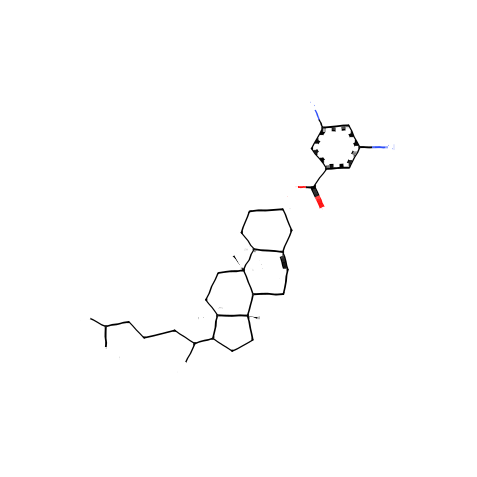 CC(C)CCCC(C)C1CC[C@H]2C3CC=C4C[C@@H](OC(=O)c5cc(N)cc(N)c5)CC[C@]4(C)[C@H]3CC[C@]12C